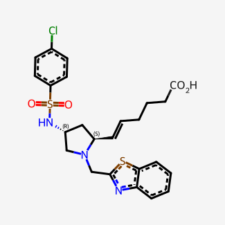 O=C(O)CCCC=C[C@@H]1C[C@@H](NS(=O)(=O)c2ccc(Cl)cc2)CN1Cc1nc2ccccc2s1